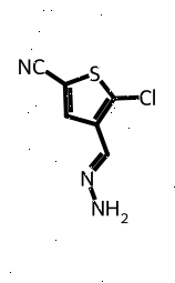 N#Cc1cc(C=NN)c(Cl)s1